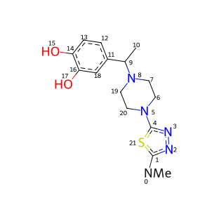 CNc1nnc(N2CCN(C(C)c3ccc(O)c(O)c3)CC2)s1